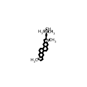 Cn1ccc2cc3c(ccc4c5cc6cc(C#C[Si](C)(C)C)n(C)c6cc5ccc34)cc21